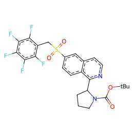 CC(C)(C)OC(=O)N1CCCC1c1nccc2cc(S(=O)(=O)Cc3c(F)c(F)c(F)c(F)c3F)ccc12